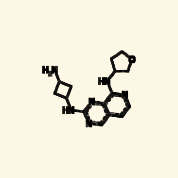 NC1CC(Nc2ncc3ccnc(NC4CCOC4)c3n2)C1